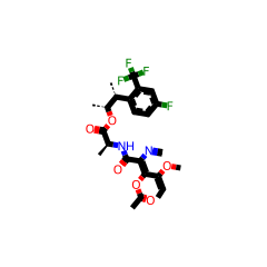 C=N/C(C(=O)N[C@@H](C)C(=O)O[C@H](C)[C@H](C)c1ccc(F)cc1C(F)(F)F)=C(OC(C)=O)\C(=C/C)OC